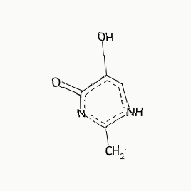 [CH2]c1nc(=O)c(O)c[nH]1